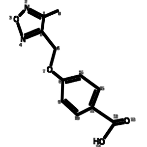 Cc1nonc1COc1ccc(C(=O)O)cc1